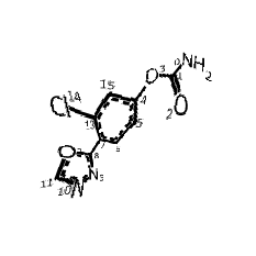 NC(=O)Oc1ccc(-c2nnco2)c(Cl)c1